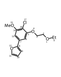 CCOCCOc1cc(-c2ccco2)cc(OC)c1Cl